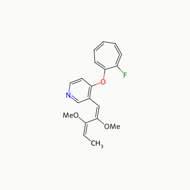 C/C=C(OC)\C(=C/c1cnccc1OC1=CC=CC=C=C1F)OC